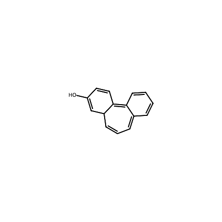 OC1=CC2C=CC=c3ccccc3=C2C=C1